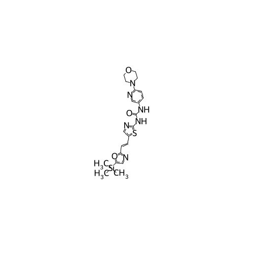 C[Si](C)(C)c1cnc(C=Cc2cnc(NC(=O)Nc3ccc(N4CCOCC4)nc3)s2)o1